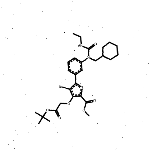 CCNC(=O)N(CC1CCCCC1)c1cccc(-c2sc(C(=O)OC)c(OCC(=O)OC(C)(C)C)c2Br)c1